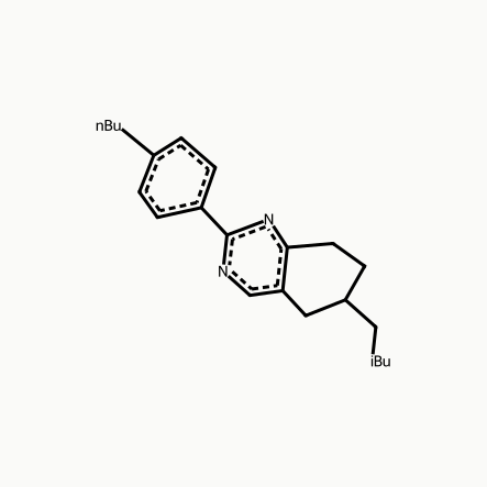 CCCCc1ccc(-c2ncc3c(n2)CCC(CC(C)CC)C3)cc1